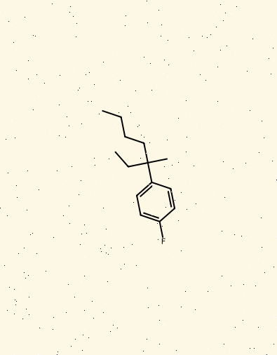 CCCCC(C)(CC)c1ccc(F)cc1